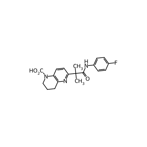 CC(C)(C(=O)Nc1ccc(F)cc1)c1ccc2c(n1)CCCN2C(=O)O